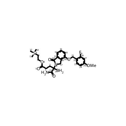 BC(CCC(=O)OCCS(C)(C)C)(C(N)=O)N1Cc2c(OCc3ccc(OC)cc3F)cccc2C1=O